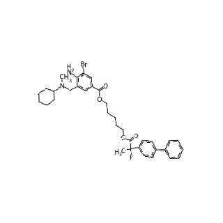 CN(Cc1cc(C(=O)OCCCCCOC(=O)C(C)(F)c2ccc(-c3ccccc3)cc2)cc(Br)c1N)C1CCCCC1